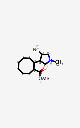 COC(=O)C1CCCCCCC1C1CN(C)CC1C#N